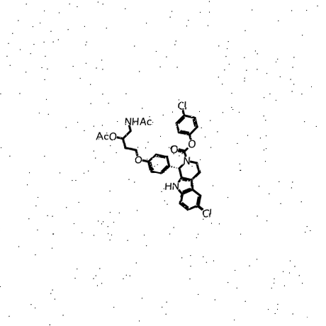 CC(=O)NCC(CCOc1ccc([C@H]2c3[nH]c4ccc(Cl)cc4c3CCN2C(=O)Oc2ccc(Cl)cc2)cc1)OC(C)=O